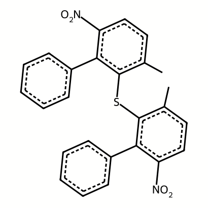 Cc1ccc([N+](=O)[O-])c(-c2ccccc2)c1Sc1c(C)ccc([N+](=O)[O-])c1-c1ccccc1